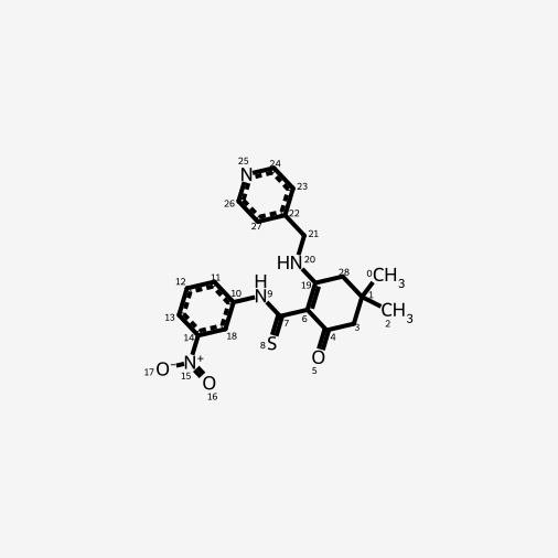 CC1(C)CC(=O)C(C(=S)Nc2cccc([N+](=O)[O-])c2)=C(NCc2ccncc2)C1